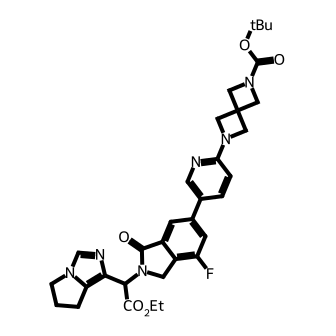 CCOC(=O)C(c1ncn2c1CCC2)N1Cc2c(F)cc(-c3ccc(N4CC5(CN(C(=O)OC(C)(C)C)C5)C4)nc3)cc2C1=O